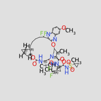 COc1ccc2nc3c(nc2c1)OC1CN(C(=O)[C@H](C(C)(C)C)NC(=O)O[C@@H]2C[C@@H]4C[C@@H]4[C@H]2CCCCC3(F)F)[C@H](C(=O)N[C@]2(C(=O)NS(=O)(=O)C3(C)CC3)C[C@H]2C(F)F)[C@@H]1C